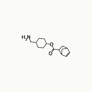 NCC1CCC(OC(=O)C2CC3C=CC2C3)CC1